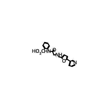 O=C(CNCc1ccc(-c2cccnc2)o1)Nc1ccccc1C(=O)O